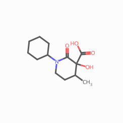 CC1CCN(C2CCCCC2)C(=O)C1(O)C(=O)O